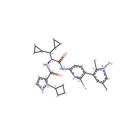 Cc1cc(-c2ccc(NC(=O)[C@@H](NC(=O)c3ccnn3C3CCC3)C(C3CC3)C3CC3)nc2F)c(C)[n+]([O-])c1